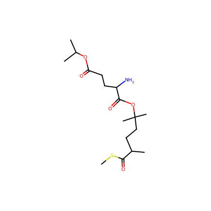 CSC(=O)C(C)CCC(C)(C)OC(=O)C(N)CCC(=O)OC(C)C